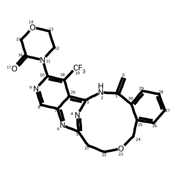 C=C1Nc2nc(nc3cnc(N4CCOCC4=O)c(C(F)(F)F)c23)CCOCc2ccccc21